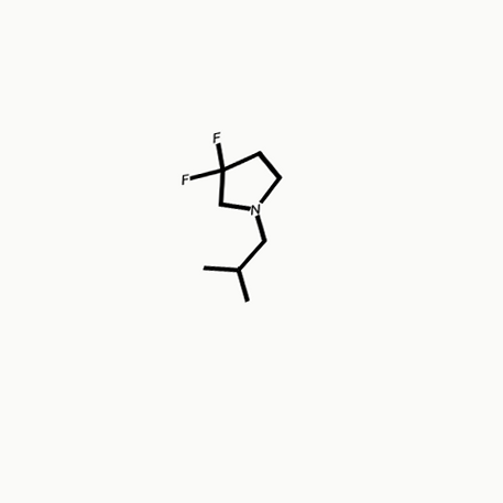 C[C](C)CN1CCC(F)(F)C1